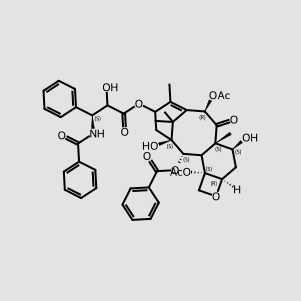 CC(=O)O[C@H]1C(=O)[C@@]2(C)C([C@H](OC(=O)c3ccccc3)[C@]3(O)CC(OC(=O)C(O)[C@@H](NC(=O)c4ccccc4)c4ccccc4)C(C)=C1C3(C)C)[C@]1(OC(C)=O)CO[C@@H]1C[C@@H]2O